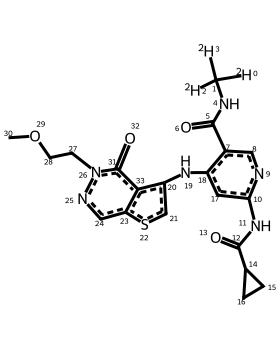 [2H]C([2H])([2H])NC(=O)c1cnc(NC(=O)C2CC2)cc1Nc1csc2cnn(CCOC)c(=O)c12